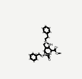 COC(=O)C1C2=C(CN(CCc3ccccc3)N2)C2CN1C(=O)N2OCc1ccccc1